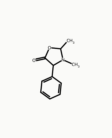 CC1OC(=O)C(c2ccccc2)N1C